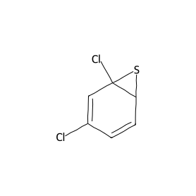 ClC1=CC2(Cl)SC2C=C1